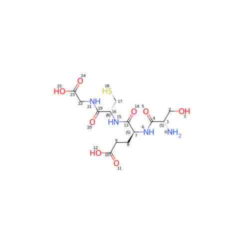 N[C@@H](CO)C(=O)N[C@@H](CCC(=O)O)C(=O)N[C@@H](CS)C(=O)NCC(=O)O